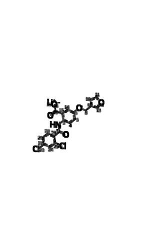 O=C(Nc1ccc(OCc2ccoc2)cc1C(=O)[O-])c1ccc(Cl)cc1Cl.[Li+]